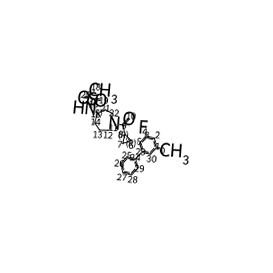 Cc1cc(F)c([C@@H]2C[C@H]2C(=O)N2CCC[C@H](NS(C)(=O)=O)CC2)c(-c2ccccc2)c1